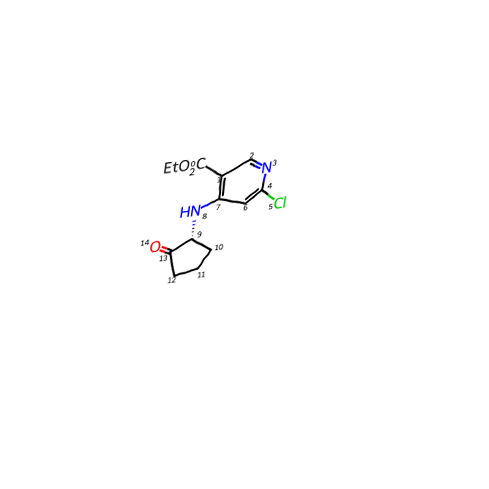 CCOC(=O)c1cnc(Cl)cc1N[C@@H]1CCCC1=O